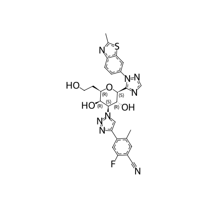 Cc1nc2ccc(-n3ncnc3[C@@H]3O[C@H](CCO)[C@H](O)[C@H](n4cc(-c5cc(F)c(C#N)cc5C)nn4)[C@H]3O)cc2s1